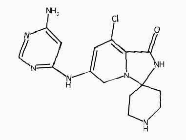 Nc1cc(NC2=CC(Cl)=C3C(=O)NC4(CCNCC4)N3C2)ncn1